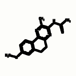 COc1ccc2c(c1)CCc1nc(NC(C)=O)c(C)nc1-2